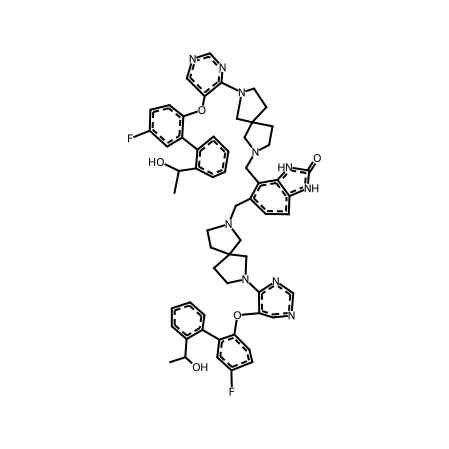 CC(O)c1ccccc1-c1cc(F)ccc1Oc1cncnc1N1CCC2(CCN(Cc3ccc4[nH]c(=O)[nH]c4c3CN3CCC4(CCN(c5ncncc5Oc5ccc(F)cc5-c5ccccc5C(C)O)C4)C3)C2)C1